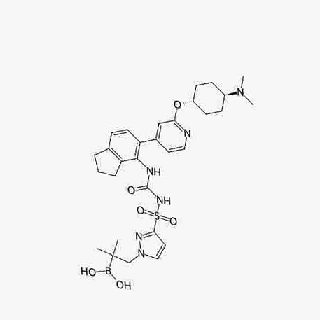 CN(C)[C@H]1CC[C@H](Oc2cc(-c3ccc4c(c3NC(=O)NS(=O)(=O)c3ccn(CC(C)(C)B(O)O)n3)CCC4)ccn2)CC1